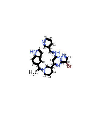 C=C(c1ccc2[nH]ccc2c1)N1CCCC(c2cc(NCc3cccnc3)n3ncc(Br)c3n2)C1